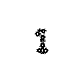 CC1(C)c2ccccc2N(c2ccc(-n3nc4ccc(N5c6ccccc6C(C)(C)c6ccccc65)cc4n3)cc2)c2ccccc21